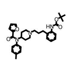 Cc1ccc(N(C(=O)c2ccco2)C2CCN(CCCc3ccccc3NC(=O)OC(C)(C)C)CC2)cc1